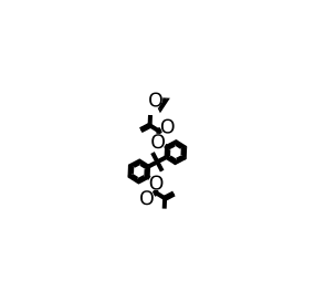 C1CO1.C=C(C)C(=O)Oc1ccccc1C(C)(C)c1ccccc1OC(=O)C(=C)C